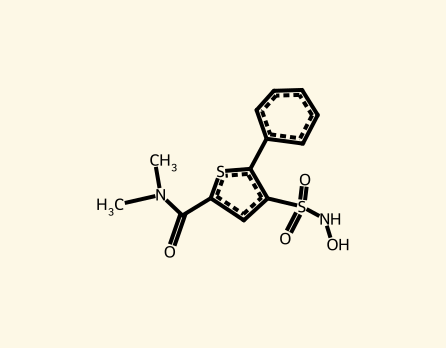 CN(C)C(=O)c1cc(S(=O)(=O)NO)c(-c2ccccc2)s1